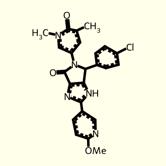 COc1ccc(-c2nc3c([nH]2)C(c2ccc(Cl)cc2)N(c2cc(C)c(=O)n(C)c2)C3=O)cn1